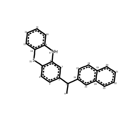 CC(c1ccc2c(c1)Nc1ccccc1S2)c1ccc2ccccc2c1